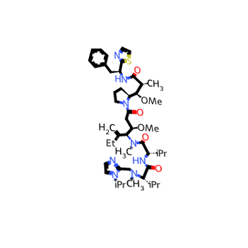 C=C(CC)[C@@H]([C@@H](CC(=O)N1CCC[C@H]1[C@H](OC)[C@@H](C)C(=O)N[C@@H](Cc1ccccc1)c1nccs1)OC)N(C)C(=O)[C@@H](NC(=O)[C@H](C(C)C)N(C)Cc1nccn1C(C)C)C(C)C